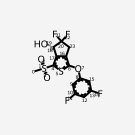 CS(=O)(=O)c1sc(Oc2cc(F)cc(F)c2)c2c1[C@H](O)C(F)(F)C2